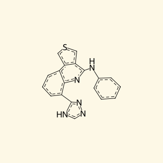 c1ccc(Nc2nc3c(-c4nnc[nH]4)cccc3c3cscc23)cc1